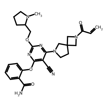 C=CC(=O)N1CC2(CCN(c3nc(OCC4CCCN4C)nc(Oc4ccccc4C(N)=O)c3C#N)C2)C1